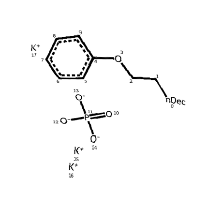 CCCCCCCCCCCCOc1ccccc1.O=P([O-])([O-])[O-].[K+].[K+].[K+]